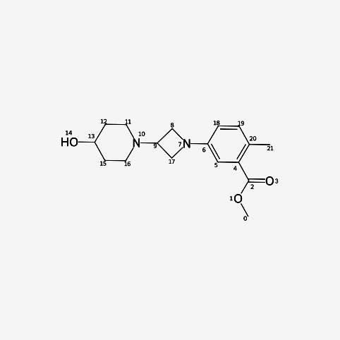 COC(=O)c1cc(N2CC(N3CCC(O)CC3)C2)ccc1C